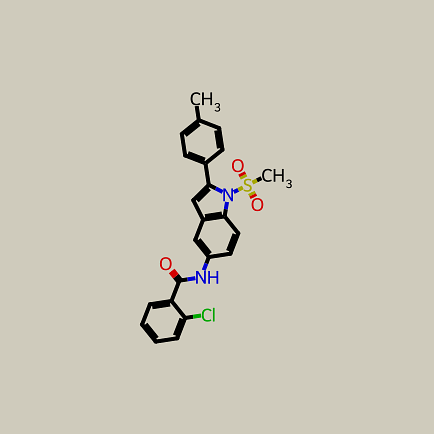 Cc1ccc(-c2cc3cc(NC(=O)c4ccccc4Cl)ccc3n2S(C)(=O)=O)cc1